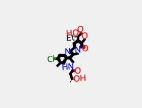 CC[C@@]1(O)C(=O)OCc2c1cc1n(c2=O)Cc2c-1nc1cc(Cl)c(C)cc1c2CNC(=O)C[C@@H](C)O